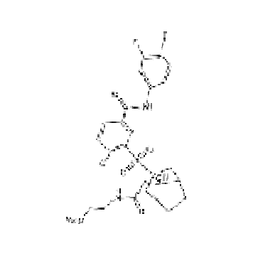 COCCNC(=O)CC1(O)C2CCC1CC(S(=O)(=O)c1cc(C(=O)Nc3ccc(F)c(F)c3)ccc1Cl)C2